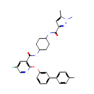 Cc1cc(C(=O)NC2CCC(NC(=O)c3cc(F)cnc3Oc3cccc(-c4ccc(C=O)cc4)c3)CC2)nn1C